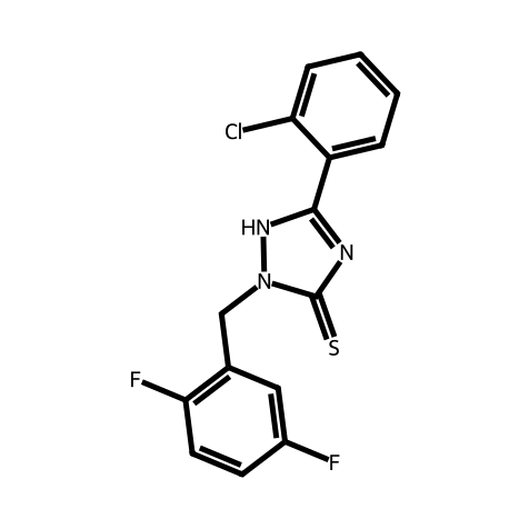 Fc1ccc(F)c(Cn2[nH]c(-c3ccccc3Cl)nc2=S)c1